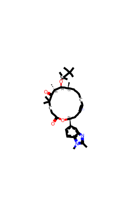 Cc1nc2cc([C@@H]3C/C=C\CCC[C@H](C)[C@H](O[Si](C)(C)C(C)(C)C)[C@@H](C)C(=O)C(C)(C)CCC(=O)O3)ccc2n1C